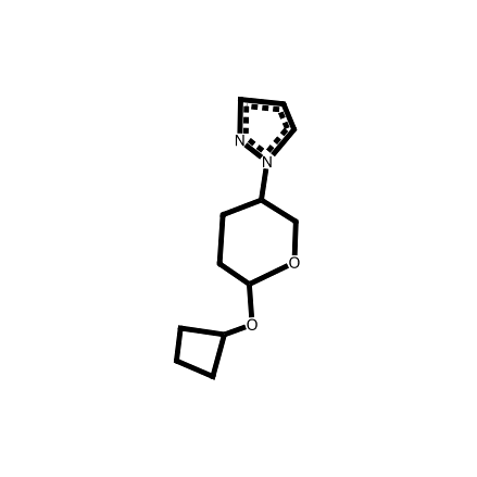 c1cnn(C2CCC(OC3CCC3)OC2)c1